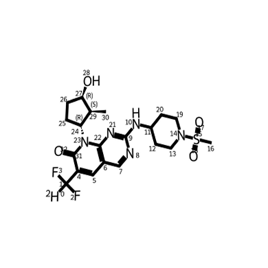 [2H]C(F)(F)c1cc2cnc(NC3CCN(S(C)(=O)=O)CC3)nc2n([C@@H]2CC[C@@H](O)[C@H]2C)c1=O